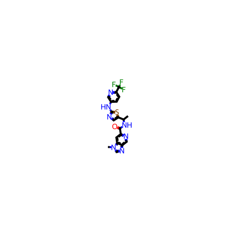 CC(NC(=O)c1cc2c(cn1)ncn2C)c1cnc(Nc2ccc(C(F)(F)F)nc2)s1